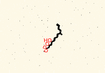 CCCCC(C)C=CC=CC(O)CC(=O)CC(=O)OC